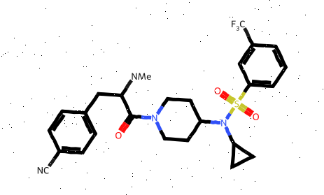 CNC(Cc1ccc(C#N)cc1)C(=O)N1CCC(N(C2CC2)S(=O)(=O)c2cccc(C(F)(F)F)c2)CC1